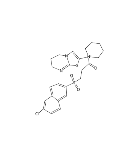 O=C(CCS(=O)(=O)c1ccc2cc(Cl)ccc2c1)[N+]1(C2=CN3CCCN=C3S2)CCCCC1